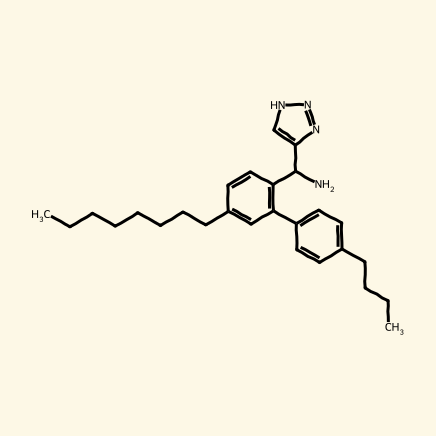 CCCCCCCCc1ccc(C(N)c2c[nH]nn2)c(-c2ccc(CCCC)cc2)c1